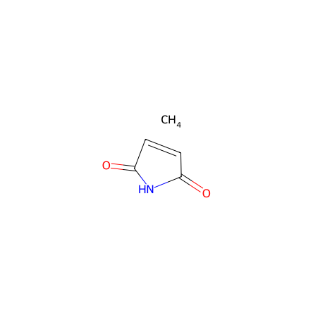 C.O=C1C=CC(=O)N1